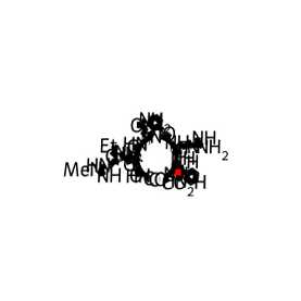 CCC(=O)N[C@@H](CCCNC(=N)NC)C(=O)N[C@H]1CCC(=O)NCCCC(C(=O)O)NC(=O)[C@H](Cc2c[nH]c3ccccc23)NC(=O)[C@H](CCCNC(=N)N)NC(=O)[C@@H](Cc2ccccc2)NC(=O)[C@H](CCC(N)=O)NC1=O